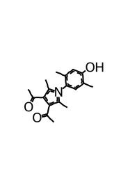 CC(=O)c1c(C(C)=O)c(C)n(-c2cc(C)c(O)cc2C)c1C